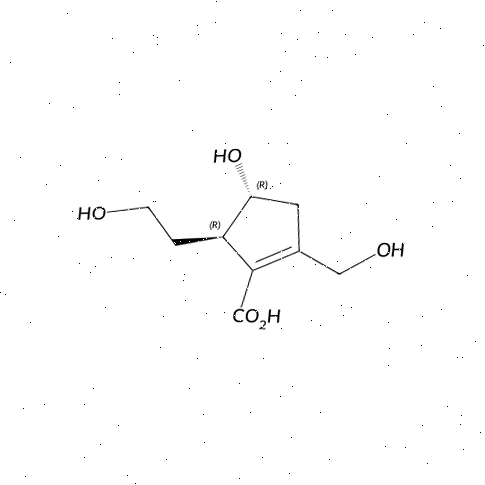 O=C(O)C1=C(CO)C[C@@H](O)[C@@H]1CCO